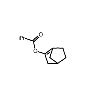 CC(C)C(=O)OC1=C2CCC(C2)C1